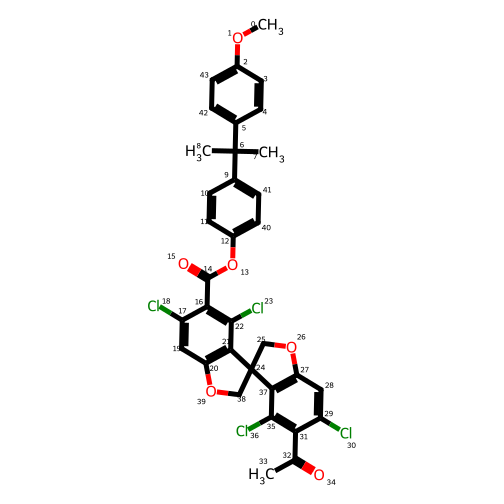 COc1ccc(C(C)(C)c2ccc(OC(=O)c3c(Cl)cc4c(c3Cl)C3(COc5cc(Cl)c(C(C)=O)c(Cl)c53)CO4)cc2)cc1